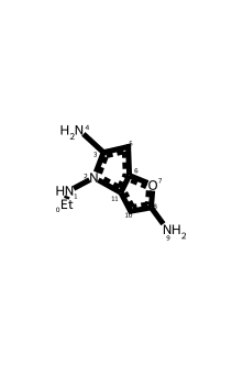 CCNn1c(N)cc2oc(N)cc21